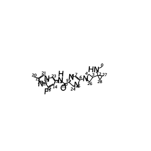 CNC1(C2CN(c3cnc(C(=O)Nc4cc(F)c5nc(C)cn5c4)cn3)C2)CC1